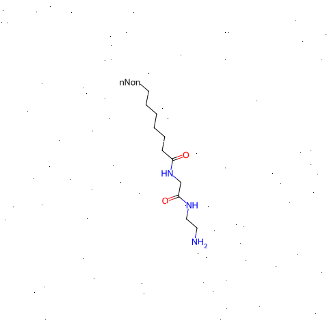 CCCCCCCCCCCCCCCC(=O)NCC(=O)NCCN